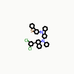 Clc1cc(Cl)cc(-c2ccc(N(c3ccccc3)c3ccc4c5ccccc5n(-c5ccc6sc7ccccc7c6c5)c4c3)c3ccccc23)c1